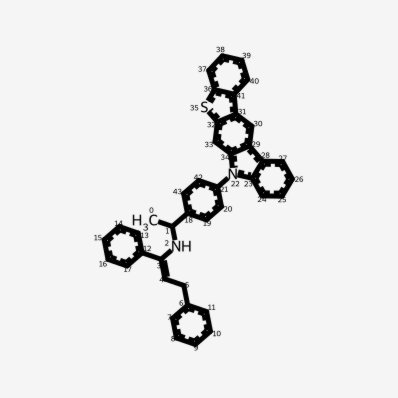 CC(N/C(=C\Cc1ccccc1)c1ccccc1)c1ccc(-n2c3ccccc3c3cc4c(cc32)sc2ccccc24)cc1